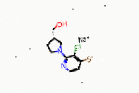 OC[C@H]1CCN(c2nccc([S-])c2Cl)C1.[Na+]